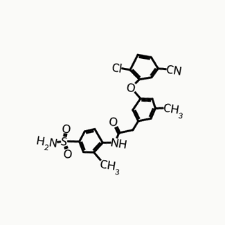 Cc1cc(CC(=O)Nc2ccc(S(N)(=O)=O)cc2C)cc(Oc2cc(C#N)ccc2Cl)c1